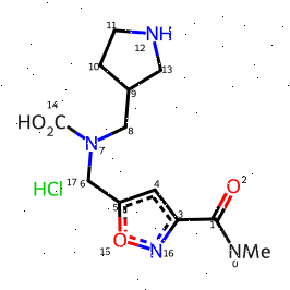 CNC(=O)c1cc(CN(CC2CCNC2)C(=O)O)on1.Cl